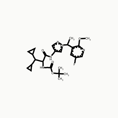 COc1ncc(F)cc1C(C)n1cc(NC(=O)C(NC(=O)OC(C)(C)C)C(C2CC2)C2CC2)cn1